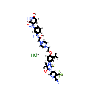 CC(C)c1cc(N2C(=S)N(c3cnc(C#N)c(C(F)(F)F)c3)C(=O)C2(C)C)ccc1OCCN1CCN(CC(=O)Nc2cccc(NC3CCC(=O)NC3=O)c2)CC1.Cl